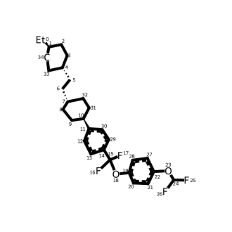 CC[C@H]1CC[C@H](CC[C@H]2CC[C@H](c3ccc(C(F)(F)Oc4ccc(OC(F)F)cc4)cc3)CC2)CC1